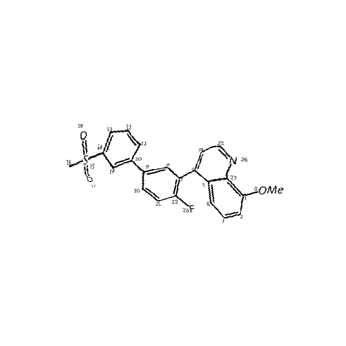 COc1cccc2c(-c3cc(-c4cccc(S(C)(=O)=O)c4)ccc3F)ccnc12